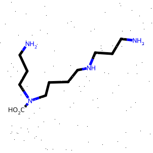 NCCCNCCCCN(CCCN)C(=O)O